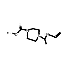 C=CNC(C)N1CCN(C(=O)OC(C)(C)C)CC1